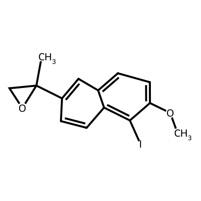 COc1ccc2cc(C3(C)CO3)ccc2c1I